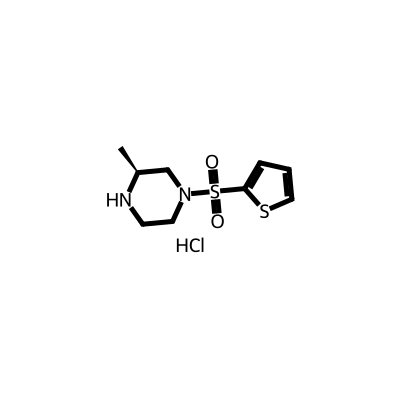 C[C@H]1CN(S(=O)(=O)c2cccs2)CCN1.Cl